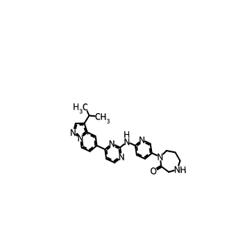 CC(C)c1cnn2ccc(-c3ccnc(Nc4ccc(N5CCCNCC5=O)cn4)n3)cc12